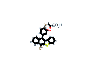 C[C@@H](Oc1cc(-c2c3ccccc3c(Br)c3sc4ccccc4c23)ccc1Br)C(=O)O